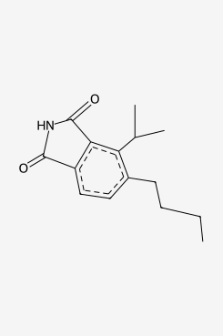 CCCCc1ccc2c(c1C(C)C)C(=O)NC2=O